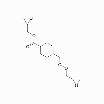 O=C(OCC1CO1)C1CCC(COOCC2CO2)CC1